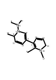 CC1=C(C2=CN(N(C)C)C(C)C=C2)C=CCN1C